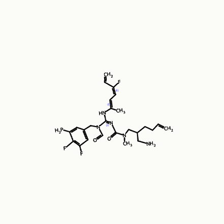 C=CCCC(CN)CN(C)C(=O)/N=C(/N/C(C)=C/C=C(/F)C=C)N(C=O)Cc1cc(F)c(F)c(P)c1